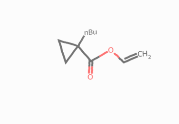 C=COC(=O)C1(CCCC)CC1